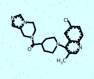 Cc1cnc2ccc(Cl)cc2c1N1CCC(C(=O)N2CCn3cncc3C2)CC1